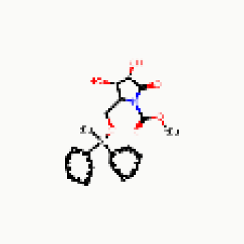 CC(C)(C)OC(=O)N1C(=O)[C@H](O)[C@H](O)C1CO[Si](c1ccccc1)(c1ccccc1)C(C)(C)C